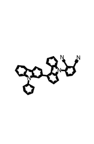 N#Cc1cccc(-n2c3ccccc3c3c(-c4ccc5c6ccccc6n(-c6ccccc6)c5c4)cccc32)c1C#N